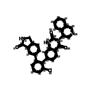 O=C1NCc2ccc(-c3cccc(Cl)c3-c3ccc4c(=O)n(-c5cncc6ccccc56)c(=O)[nH]c4c3)cc21